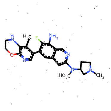 Cc1c(-c2cc3cc(N(C(=O)O)C4CCN(C)C4)ncc3c(N)c2F)cnc2c1NCCO2